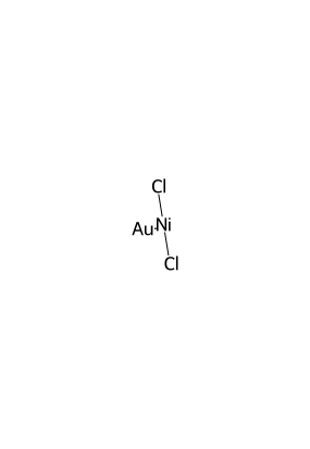 [Au].[Cl][Ni][Cl]